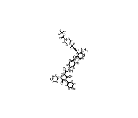 CC(C)(C)OC(=O)N1CCN(C(C)(C)C#Cc2c(Oc3ccc(NC(=O)c4cn(C5CCOCC5)c(=O)n(-c5ccc(F)cc5)c4=O)cc3F)ccnc2N)CC1